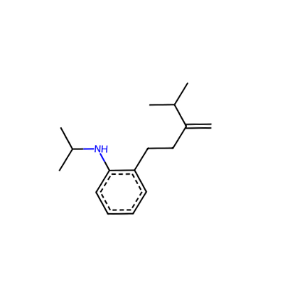 C=C(CCc1ccccc1NC(C)C)C(C)C